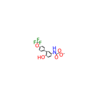 COC(=O)C(=O)Nc1ccc(O)c(-c2ccc(OC(F)(F)F)cc2)c1